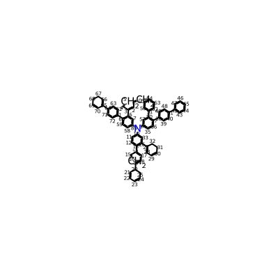 C=C/C=C(\C=C)c1cc(N(c2ccc(/C(C=C)=C/C=C/C3C=CC=CC3)c(C3=CC=CCC3)c2)c2ccc(-c3ccc(-c4ccccc4)cc3)c(-c3ccccc3)c2)ccc1-c1ccc(C2=CCCC=C2)cc1